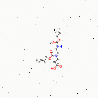 C=CCOC(=O)NCCN(CCC(=O)O)C(=O)OCC=C